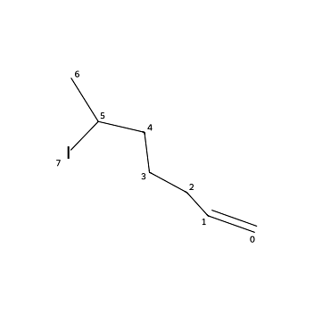 C=CCCCC(C)I